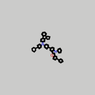 c1ccc(-c2ccc3oc4c5cc(-c6ccc(N(c7ccc(C8CCCCC8)cc7)c7ccc8c(c7)C7(CCCC7)c7ccccc7-8)cc6)ccc5n(-c5ccccc5)c4c3c2)cc1